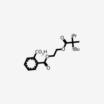 CC(C)C(C)(C(=O)OCCOC(=O)c1ccccc1C(=O)O)C(C)(C)C